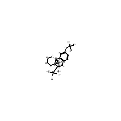 FC(F)(F)Oc1ccc2c(c1)[C@]13CCCC[C@@H]1[C@H](C2)N(C(F)(F)F)CC3